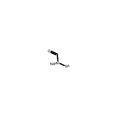 O=COS.[NaH]